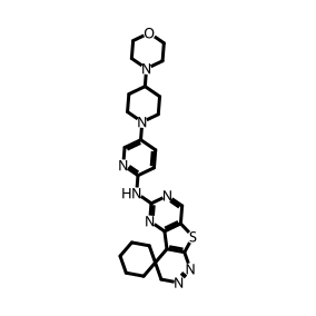 c1cc(Nc2ncc3sc4c(c3n2)C2(CCCCC2)CN=N4)ncc1N1CCC(N2CCOCC2)CC1